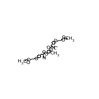 [C-]#[N+]/C(=C\c1ccc(OCCCCOC(=O)C=C)cc1)C(=O)Oc1ccc(OC(=O)/C(C#N)=C/c2ccc(OCCCCOC(=O)C=C)cc2)cc1C